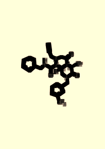 C#CCN1CC(=O)N2[C@@H](C(C)C)C(=O)N(Cc3cccc(C(F)(F)F)c3)C[C@@H]2N1C(=O)NCc1ccccc1